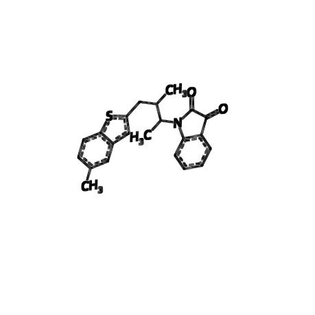 Cc1ccc2sc(CC(C)C(C)N3C(=O)C(=O)c4ccccc43)cc2c1